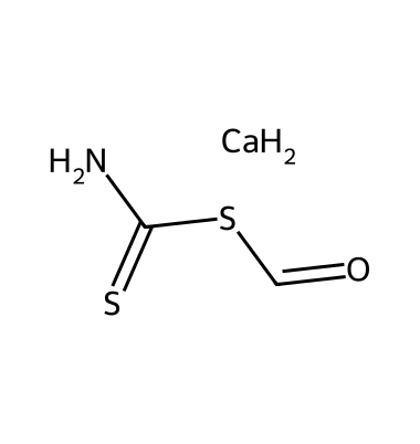 NC(=S)SC=O.[CaH2]